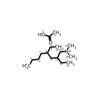 CC(=O)O.CCCCC(CC)CC(CC)CN(C)C